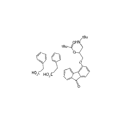 CC(C)(C)NCC(COc1cccc2c1-c1ccccc1C2=O)OC(=O)C(C)(C)C.O=C(O)Cc1ccccc1.O=C(O)Cc1ccccc1